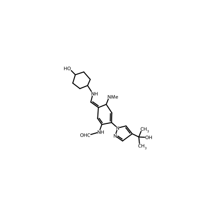 CNC1C=C(n2cc(C(C)(C)O)cn2)C(NC=O)=C/C1=C/NC1CCC(O)CC1